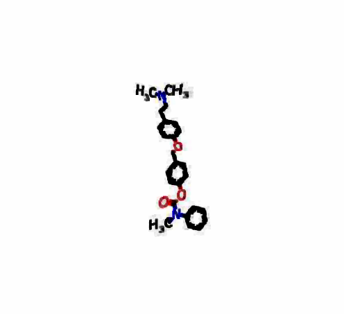 CN(C)CCc1ccc(OCc2ccc(OC(=O)N(C)c3ccccc3)cc2)cc1